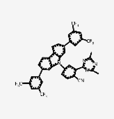 Cc1nc(C)nc(-c2cc(-n3c4cc(-c5cc(C(F)(F)F)cc(C(F)(F)F)c5)ccc4c4ccc(-c5cc(C(F)(F)F)cc(C(F)(F)F)c5)cc43)ccc2C#N)n1